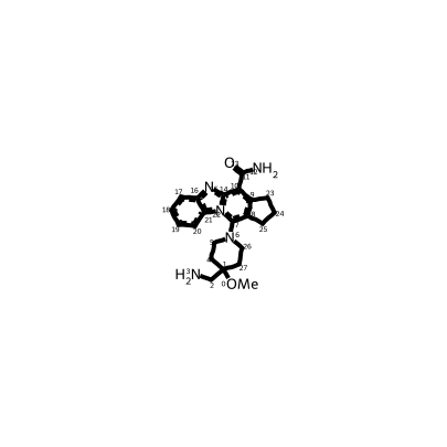 COC1(CN)CCN(c2c3c(c(C(N)=O)c4nc5ccccc5n24)CCC3)CC1